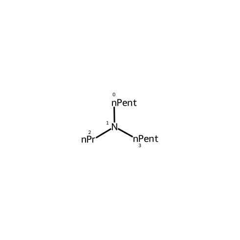 CCCCCN(CCC)CCCCC